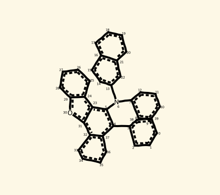 c1ccc(-c2c(N(c3ccccc3)c3ccc4ccccc4c3)c3c4ccccc4oc3c3ccccc23)cc1